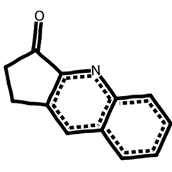 O=C1CCc2cc3ccccc3nc21